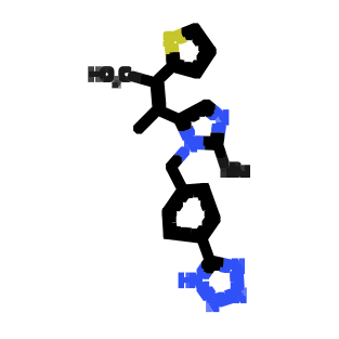 CCCCc1ncc(C(C)=C(C(=O)O)c2cccs2)n1Cc1ccc(-c2nnn[nH]2)cc1